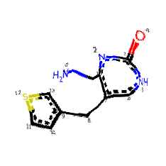 Nc1nc(=O)[nH]cc1Cc1ccsc1